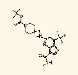 CNC(=O)c1csc2c(C(F)(F)F)cc(N3CC4(CCN(C(=O)OC(C)(C)C)CC4)C3)nc12